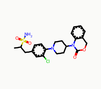 CC(Cc1ccc(N2CCC(N3C(=O)OCc4ccccc43)CC2)c(Cl)c1)S(N)(=O)=O